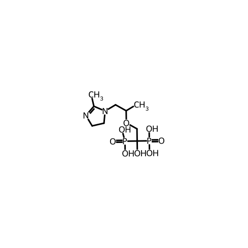 CC1=NCCN1CC(C)OCC(O)(P(=O)(O)O)P(=O)(O)O